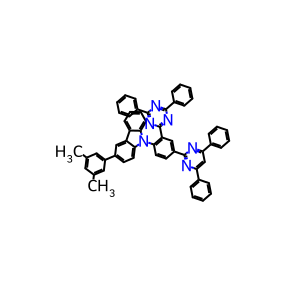 Cc1cc(C)cc(-c2ccc3c(c2)c2ccccc2n3-c2ccc(-c3nc(-c4ccccc4)cc(-c4ccccc4)n3)cc2-c2nc(-c3ccccc3)nc(-c3ccccc3)n2)c1